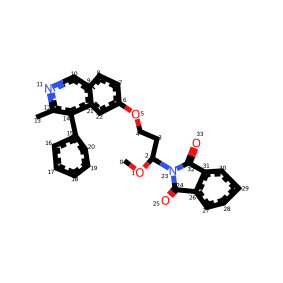 COC(CCOc1ccc2cnc(C)c(-c3ccccc3)c2c1)N1C(=O)c2ccccc2C1=O